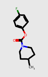 CC1CCN(C(=O)Oc2ccc(F)cc2)CC1